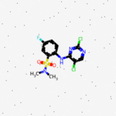 CN(C)S(=O)(=O)c1cc(F)ccc1Nc1nc(Cl)ncc1Cl